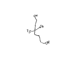 N#CCCCC(C#N)(CCC#N)C(F)(F)F